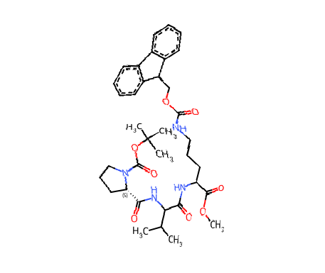 COC(=O)C(CCCNC(=O)OCC1c2ccccc2-c2ccccc21)NC(=O)C(NC(=O)[C@@H]1CCCN1C(=O)OC(C)(C)C)C(C)C